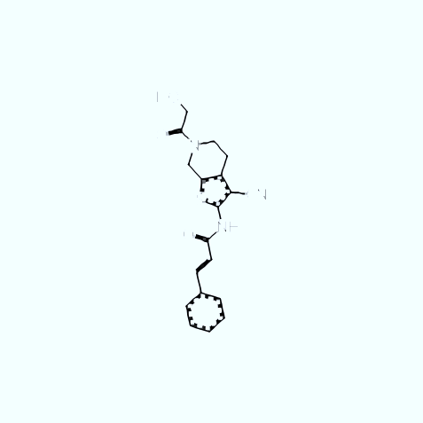 N#Cc1c(NC(=O)C=Cc2ccccc2)sc2c1CCN(C(=O)CO)C2